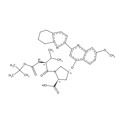 COc1ccc2c(O[C@@H]3C[C@@H](C(=O)O)N(C(=O)[C@@H](NC(=O)OC(C)(C)C)C(C)C)C3)cc(-c3ccc4c(n3)CCCC4)nc2c1